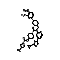 COc1ccc([C@H]2CC[C@H](CN(c3cc(-c4coc(C5CC5)n4)ccn3)C(=O)[C@H]3CC[C@H](OC(=O)N4CC(C#N)C4)CC3)CC2)nc1C